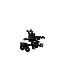 CCCCOC[C@H]1OC(c2cc(CCC(C)(C)[Si](O)(c3ccccc3)c3ccccc3)c(Cl)c(OCCCl)c2Br)[C@H](OCCCC)[C@@H](OCCCC)[C@@H]1OCCCC